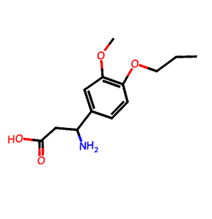 CCCOc1ccc(C(N)CC(=O)O)cc1OC